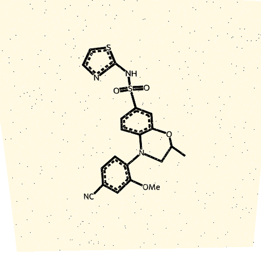 COc1cc(C#N)ccc1N1CC(C)Oc2cc(S(=O)(=O)Nc3nccs3)ccc21